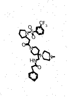 CN1CCN(C2(CNC(=O)Cc3ccccc3)CCN(C(=O)CC3CCCCN3S(=O)(=O)c3cccc(C(F)(F)F)c3)CC2)CC1